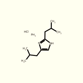 CC(C)Cc1c[nH]c(CC(C)C)n1.Cl.P